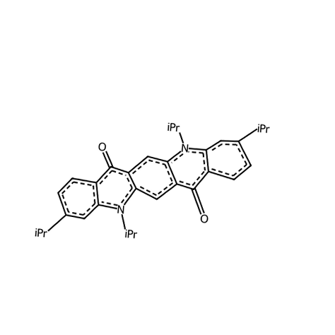 CC(C)c1ccc2c(=O)c3cc4c(cc3n(C(C)C)c2c1)c(=O)c1ccc(C(C)C)cc1n4C(C)C